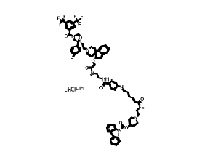 CN(CCN1CCC(OC(=O)Nc2ccccc2-c2ccccc2)CC1)C(=O)CCCCCNc1ccc(C(=O)NCCN(C)C(=O)CO[C@H]2Cc3ccccc3C23CCN(CC[C@]2(c4ccc(F)cc4)CN(C(=O)c4cc(C(F)(F)F)cc(C(F)(F)F)c4)CO2)CC3)cc1.Cl.Cl.Cl